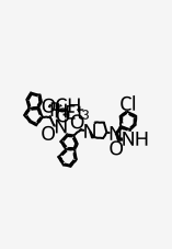 CCOP(C)(=O)C(C(=O)Nc1cc2ccccc2cc1C(=O)N1CCC(n2c(=O)[nH]c3ccc(Cl)cc32)CC1)c1cccc2ccccc12